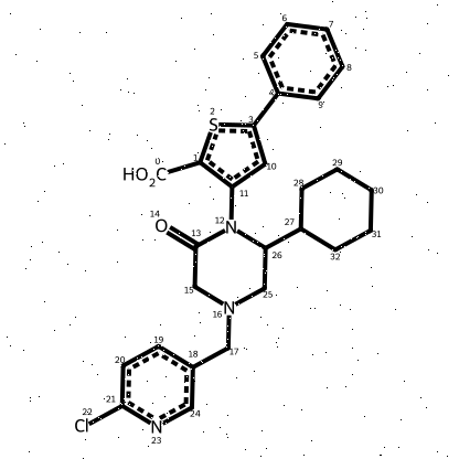 O=C(O)c1sc(-c2ccccc2)cc1N1C(=O)CN(Cc2ccc(Cl)nc2)CC1C1CCCCC1